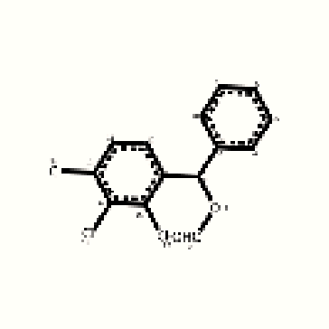 O=[C]OC(c1ccccc1)c1ccc(Cl)c(Cl)c1Cl